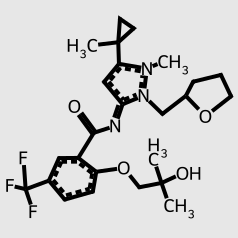 Cn1c(C2(C)CC2)c/c(=N\C(=O)c2cc(C(F)(F)F)ccc2OCC(C)(C)O)n1CC1CCCO1